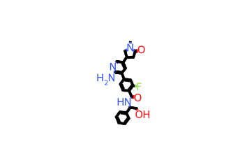 CN1CC(c2cnc(N)c(-c3ccc(C(=O)NC(CO)c4ccccc4)c(F)c3)c2)CC1=O